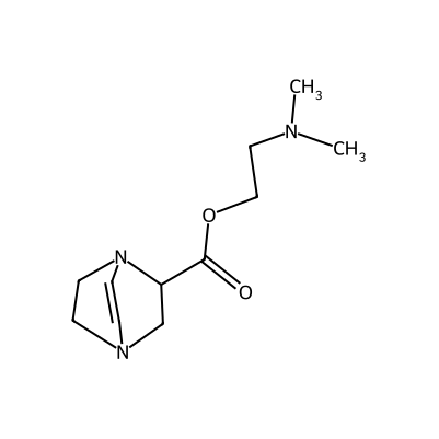 CN(C)CCOC(=O)C1CN2C=CN1CC2